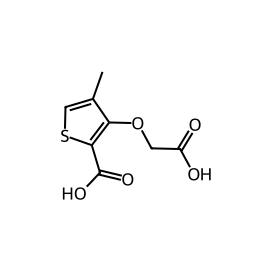 Cc1csc(C(=O)O)c1OCC(=O)O